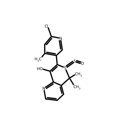 Cc1cc(Cl)ncc1C1=C(O)c2ncccc2C(C)(C)S1=S=O